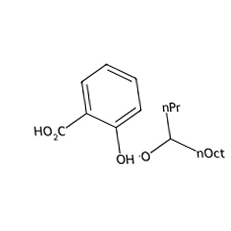 CCCCCCCCC([O])CCC.O=C(O)c1ccccc1O